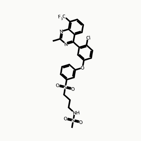 Cc1nc(-c2cc(Oc3cccc(S(=O)(=O)CCCNS(C)(=O)=O)c3)ccc2Cl)c2cccc(C(F)(F)F)c2n1